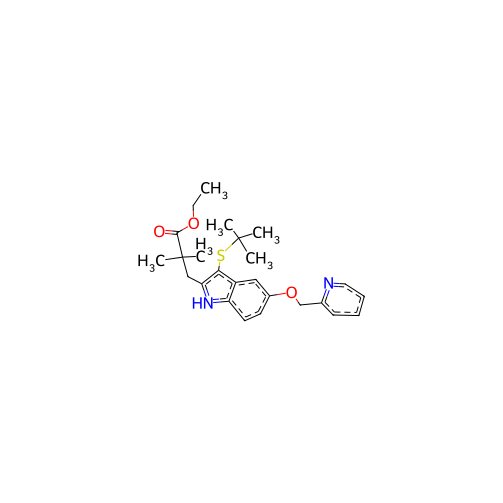 CCOC(=O)C(C)(C)Cc1[nH]c2ccc(OCc3ccccn3)cc2c1SC(C)(C)C